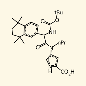 CCCN(C(=O)C(NC(=O)OC(C)(C)C)c1ccc2c(c1)C(C)(C)CCC2(C)C)c1c[nH]c(C(=O)O)c1